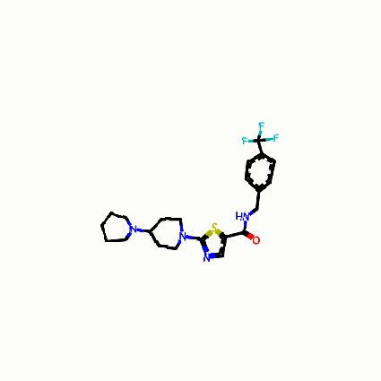 O=C(NCc1ccc(C(F)(F)F)cc1)c1cnc(N2CCC(N3CCCCC3)CC2)s1